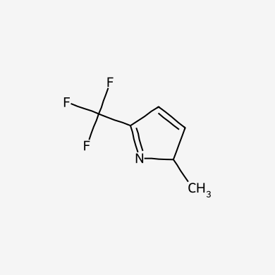 CC1C=CC(C(F)(F)F)=N1